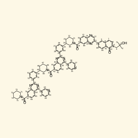 CC(C)(O)Cn1ccc2cc(-c3cnc4ccc(C(=O)N5CCCC(c6cccc(-c7nc(-c8ccncc8)c8ccc(C(=O)N9CCCC(c%10cccc(-c%11nc(-c%12cccnc%12)c%12ccc(C(=O)N%13CCCCC%13)cc%12n%11)c%10)C9)cc8n7)c6)C5)cc4n3)ccc2c1=O